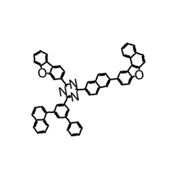 c1ccc(-c2cc(-c3nc(-c4ccc5cc(-c6ccc7oc8ccc9ccccc9c8c7c6)ccc5c4)nc(-c4ccc5c(c4)oc4ccccc45)n3)cc(-c3cccc4ccccc34)c2)cc1